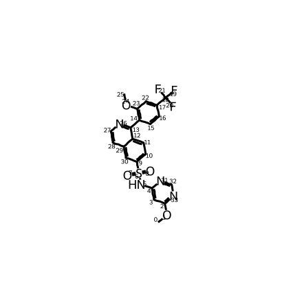 COc1cc(NS(=O)(=O)c2ccc3c(-c4ccc(C(F)(F)F)cc4OC)nccc3c2)ncn1